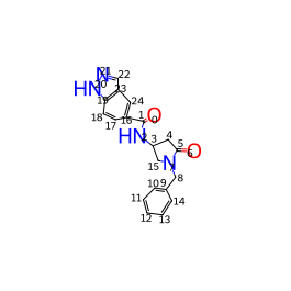 O=C(NC1CC(=O)N(Cc2ccccc2)C1)c1ccc2[nH]ncc2c1